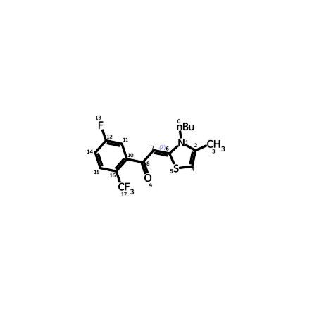 CCCCN1C(C)=CS/C1=C\C(=O)c1cc(F)ccc1C(F)(F)F